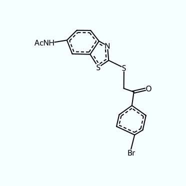 CC(=O)Nc1ccc2nc(SCC(=O)c3ccc(Br)cc3)sc2c1